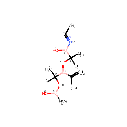 C=C(C)B(OC(C)(CC)B(O)/N=C/C)C(C)(CC)OB(O)NC